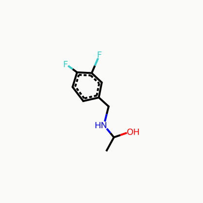 CC(O)NCc1ccc(F)c(F)c1